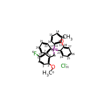 COc1ccc(F)cc1C[P+](c1ccccc1)(c1ccccc1)c1ccccc1OC.[Cl-]